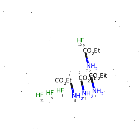 CCOC(N)=O.CCOC(N)=O.CCOC(N)=O.CCOC(N)=O.F.F.F.F